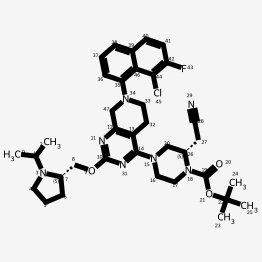 CC(C)N1CCC[C@H]1COc1nc2c(c(N3CCN(C(=O)OC(C)(C)C)[C@@H](CC#N)C3)n1)CCN(c1cccc3ccc(F)c(Cl)c13)C2